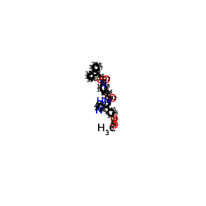 COCOc1ccc(C(CNC(=O)c2cc3c(s2)CCN(C(=O)OCC2c4ccccc4-c4ccccc42)C3)c2cccnc2)cc1